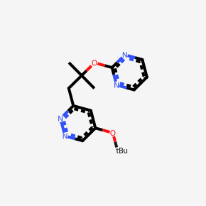 CC(C)(C)Oc1cnnc(CC(C)(C)Oc2ncccn2)c1